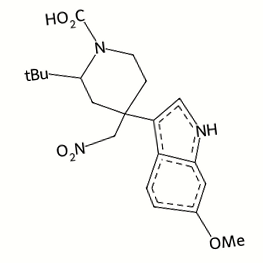 COc1ccc2c(C3(C[N+](=O)[O-])CCN(C(=O)O)C(C(C)(C)C)C3)c[nH]c2c1